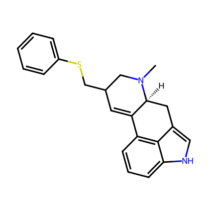 CN1CC(CSc2ccccc2)C=C2c3cccc4[nH]cc(c34)C[C@@H]21